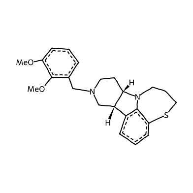 COc1cccc(CN2CC[C@H]3[C@@H](C2)c2cccc4c2N3CCCS4)c1OC